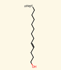 CCCCCCCCCCCCCCC=C[CH]CCO